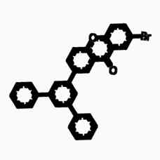 O=c1c2cc(Br)ccc2oc2ccc(-c3cc(-c4ccccc4)cc(-c4ccccc4)c3)cc12